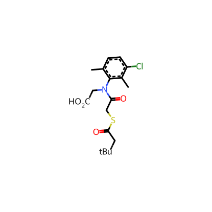 Cc1ccc(Cl)c(C)c1N(CC(=O)O)C(=O)CSC(=O)CC(C)(C)C